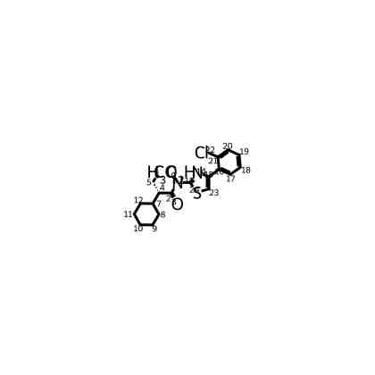 CN(C(=O)[C@@H](CC(=O)O)C1CCCCC1)c1nc(-c2ccccc2Cl)cs1